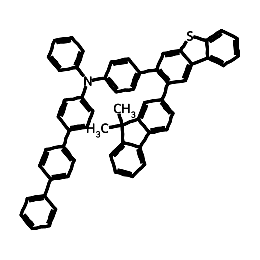 CC1(C)c2ccccc2-c2ccc(-c3cc4c(cc3-c3ccc(N(c5ccccc5)c5ccc(-c6ccc(-c7ccccc7)cc6)cc5)cc3)sc3ccccc34)cc21